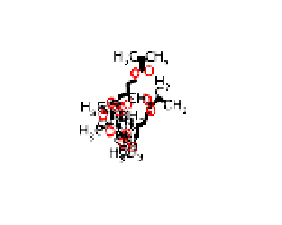 C=C(C)C(=O)OCCCC[Si](OC)(OC)O[Si](C)(C)O[Si](C)(C)O[Si](C)(C)O[Si](CCCCOC(=O)C(=C)C)(OC)OC